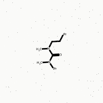 CC(C)CCN(C)C(=O)N(C)C(C)C